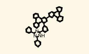 c1ccc(C2=NC(c3ccccc3)NC(c3cccc(-c4cc(-c5ccc6c7ccccc7c7ccccc7c6c5)cc5c6ccccc6c6ccccc6c45)c3)=N2)cc1